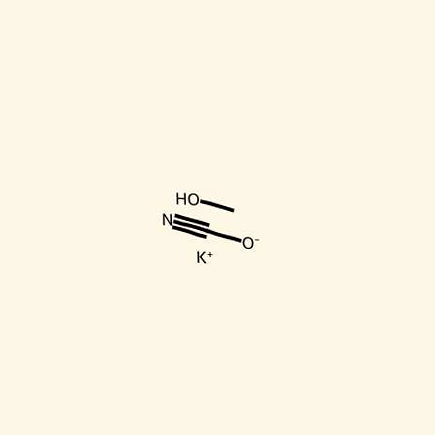 CO.N#C[O-].[K+]